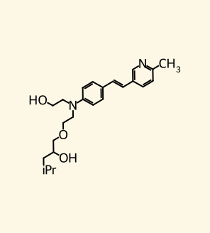 Cc1ccc(/C=C/c2ccc(N(CCO)CCOCC(O)CC(C)C)cc2)cn1